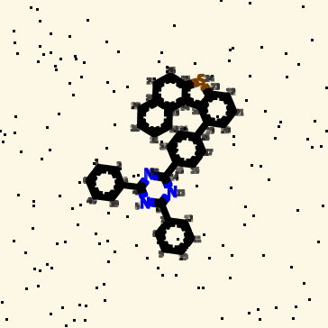 c1ccc(-c2nc(-c3ccccc3)nc(-c3ccc(-c4cccc5sc6ccc7ccccc7c6c45)cc3)n2)cc1